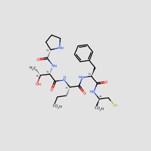 C[C@@H](O)[C@H](NC(=O)[C@@H]1CCCN1)C(=O)N[C@@H](CCC(=O)O)C(=O)N[C@@H](Cc1ccccc1)C(=O)N[C@@H](CS)C(=O)O